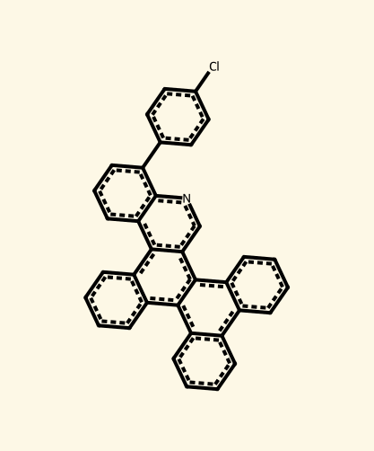 Clc1ccc(-c2cccc3c2ncc2c3c3ccccc3c3c4ccccc4c4ccccc4c23)cc1